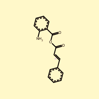 Nc1ccccc1C(=O)OC(=O)/C=C/c1ccccc1